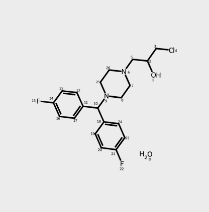 O.OC(CCl)CN1CCN(C(c2ccc(F)cc2)c2ccc(F)cc2)CC1